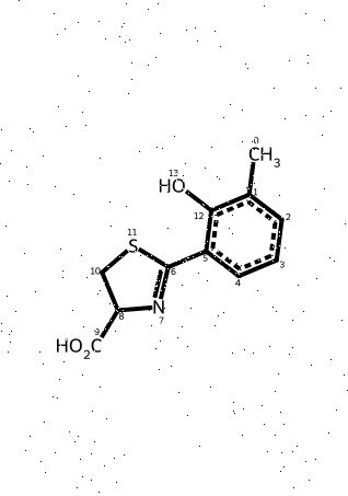 Cc1cccc(C2=NC(C(=O)O)CS2)c1O